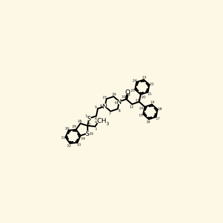 CCC1(SCCN2CCN(C(=O)CC(c3ccccc3)c3ccccc3)CC2)Cc2ccccc2S1